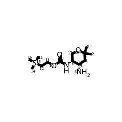 CC1(C)C[C@H](N)[C@H](NC(=O)OCC[Si](C)(C)C)CO1